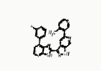 Cc1ccncc1-c1cc2c(-c3nc4c(-c5cccc(F)c5)ccnc4[nH]3)n[nH]c2cn1